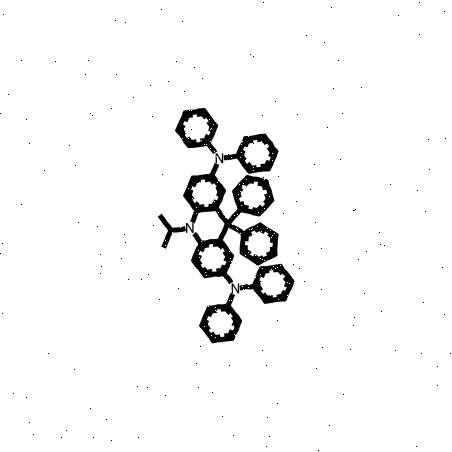 CC(C)N1c2ccc(N(c3ccccc3)c3ccccc3)cc2C(c2ccccc2)(c2ccccc2)c2cc(N(c3ccccc3)c3ccccc3)ccc21